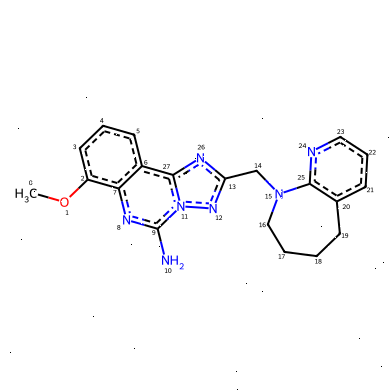 COc1cccc2c1nc(N)n1nc(CN3CCCCc4cccnc43)nc21